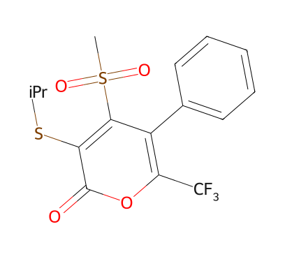 CC(C)Sc1c(S(C)(=O)=O)c(-c2ccccc2)c(C(F)(F)F)oc1=O